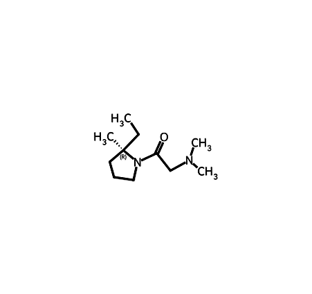 CC[C@]1(C)CCCN1C(=O)CN(C)C